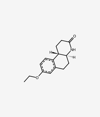 CCOc1ccc2c(c1)CC[C@@H]1NC(=O)CC[C@@H]21